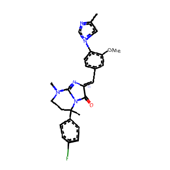 COc1cc(/C=C2\N=C3N(C)CCC(C)(c4ccc(F)cc4)N3C2=O)ccc1-n1cnc(C)c1